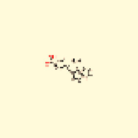 O=C(O)c1ccc(C=Cc2ccc3ccccc3c2)cc1.[NaH]